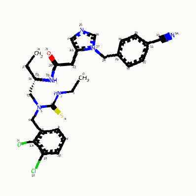 CCNC(=S)N(Cc1cccc(Cl)c1Cl)C[C@H](CC)NC(=O)Cc1cncn1Cc1ccc(C#N)cc1